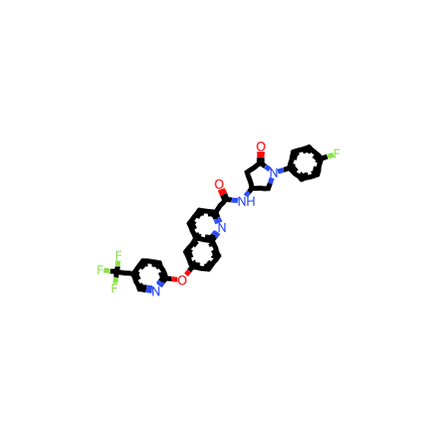 O=C(NC1CC(=O)N(c2ccc(F)cc2)C1)c1ccc2cc(Oc3ccc(C(F)(F)F)cn3)ccc2n1